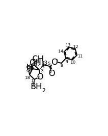 B[C@@H]1O[C@@]2(CC(=O)OCc3ccccc3)C(C)SC1[C@H]2C